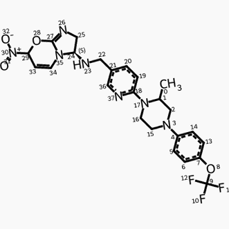 CC1CN(c2ccc(OC(F)(F)F)cc2)CCN1c1ccc(CN[C@@H]2CN=C3OC([N+](=O)[O-])C=CN32)cn1